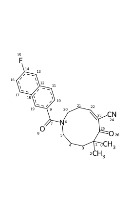 CC1(C)CCCN(C(=O)c2ccc3cc(F)ccc3c2)CC/C=C(/C#N)C1=O